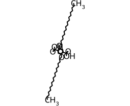 CCCCCCCCCCCCCCCCCCOc1cc(C(=O)O)c(OCCCCCCCCCCCCCCCCCC)cc1C(=O)O